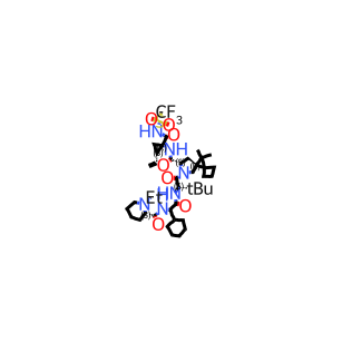 C=C[C@@H]1C[C@]1(NC(=O)[C@@H]1C[C@@]2(CN1C(=O)[C@@H](NC(=O)C(NC(=O)[C@@H]1CCCCN1CC)C1CCCCC1)C(C)(C)C)C(C)(C)C21CCC1)C(=O)NS(=O)(=O)C(F)(F)F